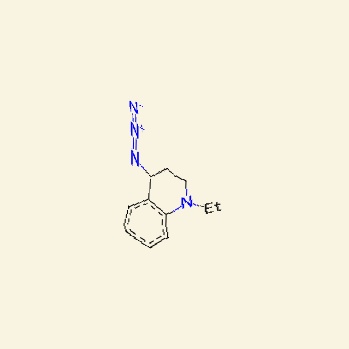 CCN1CCC(N=[N+]=[N-])c2ccccc21